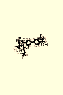 CC(C)(F)C[C@H](N)C(=O)N([C@@H](c1ccc(-c2ccc(C(C)(O)C(F)(F)F)cc2)cc1)C(F)(F)F)C1(C#N)CC1